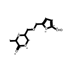 CC1OC(COCc2ccc(C=O)o2)COC1=O